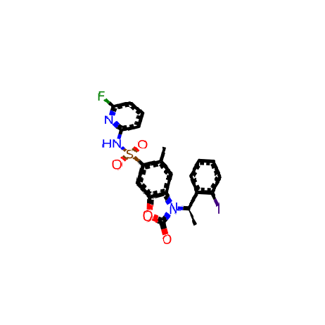 Cc1cc2c(cc1S(=O)(=O)Nc1cccc(F)n1)oc(=O)n2[C@H](C)c1ccccc1I